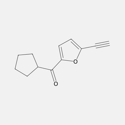 C#Cc1ccc(C(=O)C2CCCC2)o1